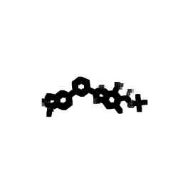 [CH2][C@H](OC(C)(C)C)c1c(C)cc2nc(-c3cccc(-c4ccc5c(cnn5C)c4)c3)sc2c1Br